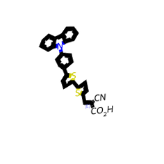 N#C/C(=C\c1ccc(-c2ccc(-c3ccc(-n4c5ccccc5c5ccccc54)cc3)s2)s1)C(=O)O